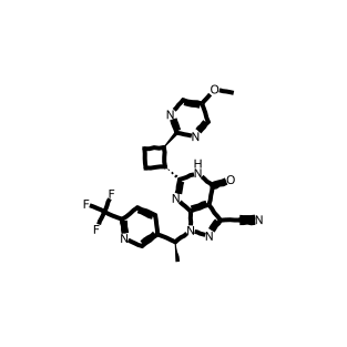 COc1cnc([C@@H]2CC[C@H]2c2nc3c(c(C#N)nn3[C@@H](C)c3ccc(C(F)(F)F)nc3)c(=O)[nH]2)nc1